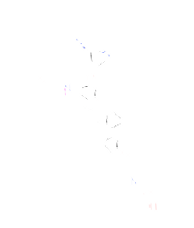 Cc1c(COc2cc(OCc3cncc(C#N)c3)c(CNC[C@H](O)CO)cc2Cl)cccc1-c1cccc(OCCCNC[C@H](O)CO)c1Cl